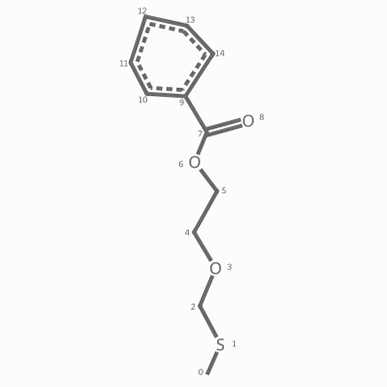 CSCOCCOC(=O)c1ccccc1